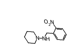 O=[N+]([O-])c1ccccc1CNN1CCCCC1